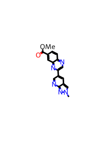 COC(=O)c1ccc2ncc(-c3cnc4nn(C)cc4c3)nc2c1